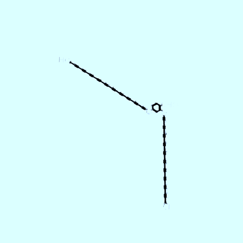 C#CC#CC#CC#CC#CC#CC#CC#CC#CC#CC#COc1ccc(C=O)c(OC#CC#CC#CC#CC#CC#CC#CC#CC#CC#CC#C)c1